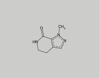 Cn1ncc2c1C(=O)NCC2